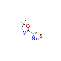 CC1(C)CN=C(c2cscn2)O1